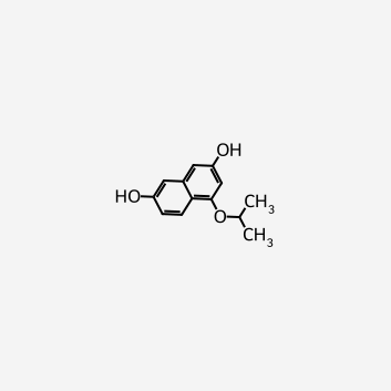 CC(C)Oc1cc(O)cc2cc(O)ccc12